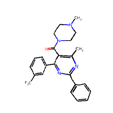 Cc1nc(-c2ccccc2)nc(-c2cccc(C(F)(F)F)c2)c1C(=O)N1CCN(C)CC1